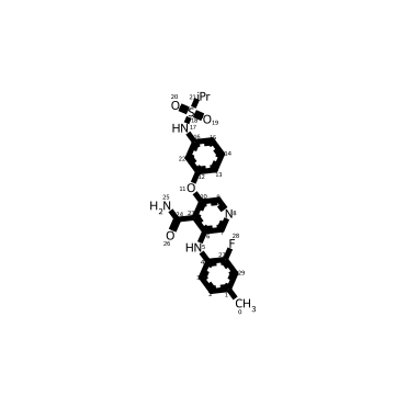 Cc1ccc(Nc2cncc(Oc3cccc(NS(=O)(=O)C(C)C)c3)c2C(N)=O)c(F)c1